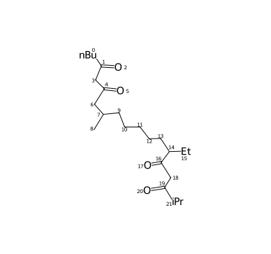 CCCCC(=O)CC(=O)CC(C)CCCCCC(CC)C(=O)CC(=O)C(C)C